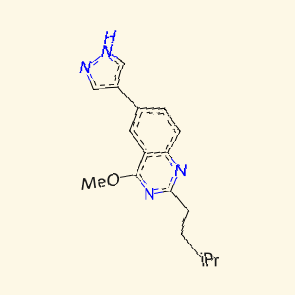 COc1nc(CCC(C)C)nc2ccc(-c3cn[nH]c3)cc12